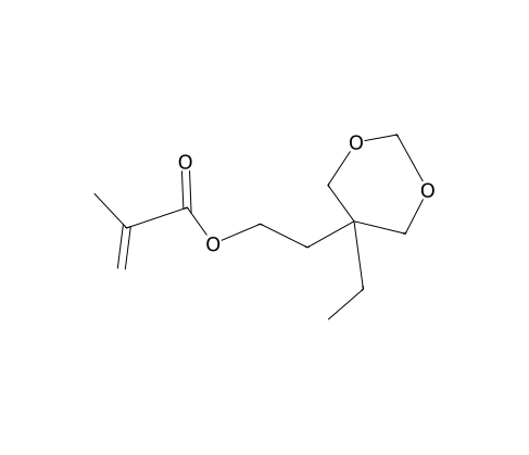 C=C(C)C(=O)OCCC1(CC)COCOC1